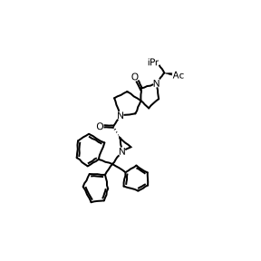 CC(=O)[C@H](C(C)C)N1CCC2(CCN(C(=O)[C@@H]3CN3C(c3ccccc3)(c3ccccc3)c3ccccc3)C2)C1=O